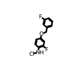 Fc1cccc(COc2ccc(NCl)c(F)c2)c1